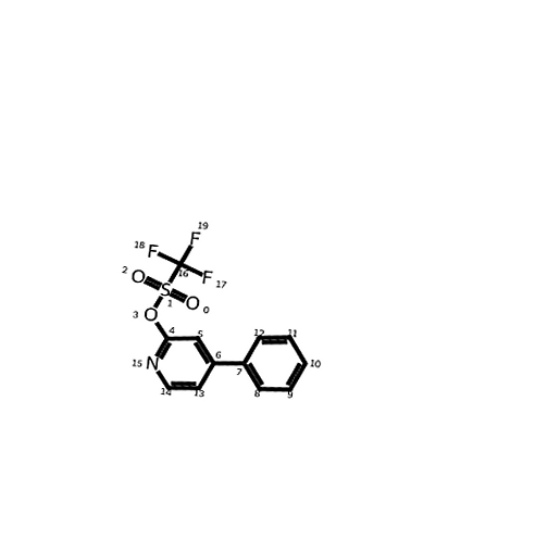 O=S(=O)(Oc1cc(-c2ccccc2)ccn1)C(F)(F)F